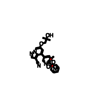 CC(C)(O)COc1cc(-c2cnc(N3CC4CC(C3)N4C(=O)OC(C)(C)C)nc2)c2c(C#N)cnn2c1